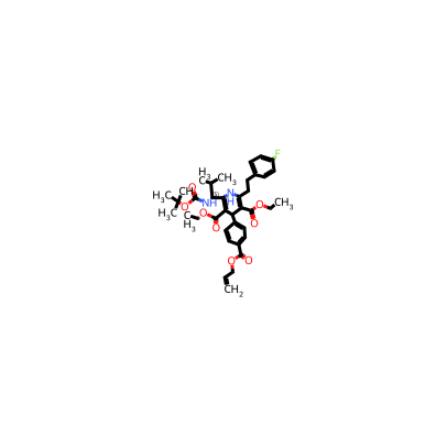 C=CCOC(=O)c1ccc(C2C(C(=O)OCC)=C(CCc3ccc(F)cc3)NC([C@@H](NC(=O)OC(C)(C)C)C(C)C)=C2C(=O)OCC)cc1